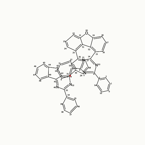 c1ccc(-c2nc(-c3ccccc3)nc(-c3cccc4oc5cccc(-c6cccc(-c7nc(-c8ccccc8)nc8c7sc7ccccc78)c6)c5c34)n2)cc1